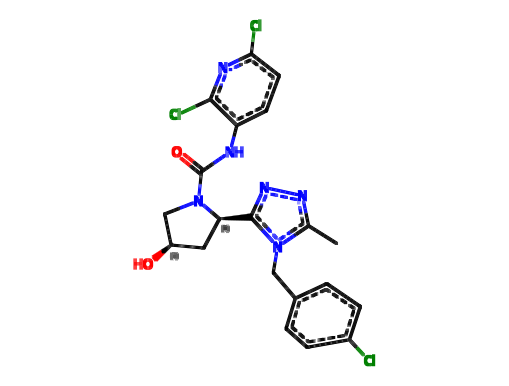 Cc1nnc([C@H]2C[C@@H](O)CN2C(=O)Nc2ccc(Cl)nc2Cl)n1Cc1ccc(Cl)cc1